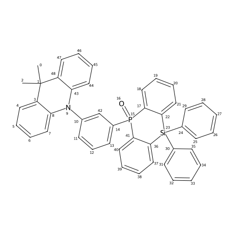 CC1(C)c2ccccc2N(c2cccc(P3(=O)c4ccccc4[Si](c4ccccc4)(c4ccccc4)c4ccccc43)c2)c2ccccc21